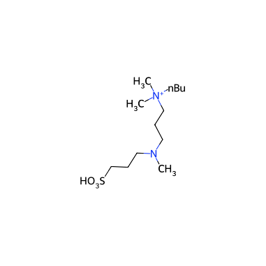 CCCC[N+](C)(C)CCCN(C)CCCS(=O)(=O)O